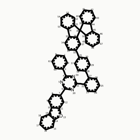 c1ccc(-c2nc(-c3ccc4c(c3)oc3ccccc34)nc(-c3ccccc3-c3ccc(-c4ccc5c(c4)C4(c6ccccc6-c6ccccc64)c4ccccc4-5)cc3)n2)cc1